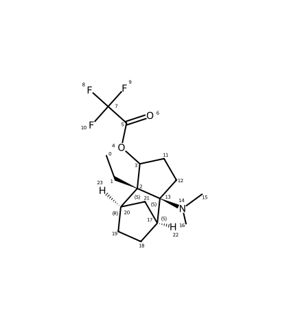 CC[C@@]12C(OC(=O)C(F)(F)F)CC[C@]1(N(C)C)[C@H]1CC[C@@H]2C1